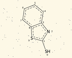 Sc1nc2[c]cccc2s1